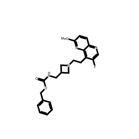 COc1ccc2ncc(F)c(CCN3CC(CNC(=O)OCc4ccccc4)C3)c2n1